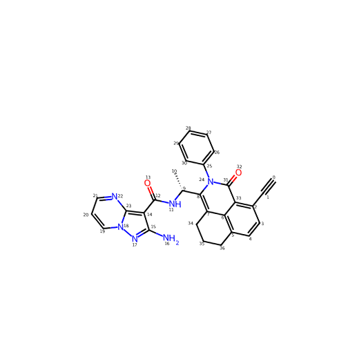 C#Cc1ccc2c3c(c([C@@H](C)NC(=O)c4c(N)nn5cccnc45)n(-c4ccccc4)c(=O)c13)CCC2